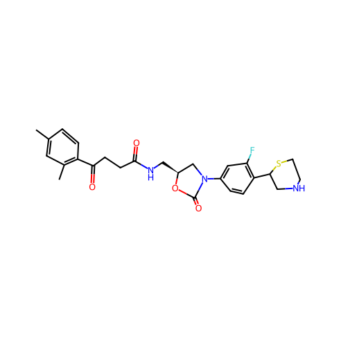 Cc1ccc(C(=O)CCC(=O)NC[C@H]2CN(c3ccc(C4CNCCS4)c(F)c3)C(=O)O2)c(C)c1